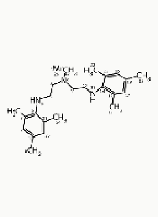 Cc1cc(C)c(NCCN(C)CCNc2c(C)cc(C)cc2C)c(C)c1.[Mn]